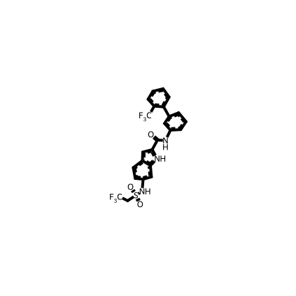 O=C(Nc1cccc(-c2ccccc2C(F)(F)F)c1)c1cc2ccc(NS(=O)(=O)CC(F)(F)F)cc2[nH]1